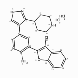 Cl.Cl.Nc1ncc(-c2c[nH]nc2C2CCNCC2)cc1-c1oc2ccccc2c1Cl